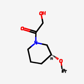 CC(C)O[C@@H]1CCCN(C(=O)CO)C1